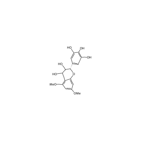 COc1cc(OC)c2c(c1)O[C@@H](c1cc(O)c(O)c(O)c1)[C](O)C2O